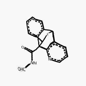 CC1CC2c3ccccc3C1(C(=O)NC=O)c1ncccc12